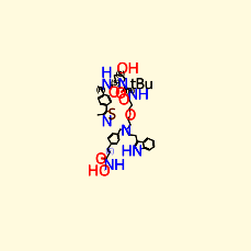 Cc1ncsc1-c1ccc([C@@H](C)NC(=O)[C@@H]2C[C@H](O)CN2C(=O)[C@H](NC(=O)CCOCCN(CCc2c[nH]c3ccccc23)Cc2ccc(/C=C/C(=O)NO)cc2)C(C)(C)C)cc1